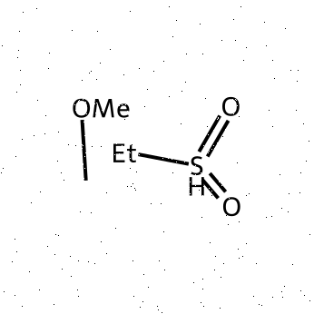 CC[SH](=O)=O.COC